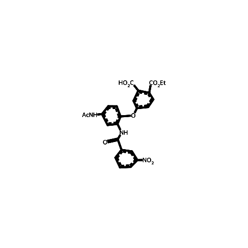 CCOC(=O)c1ccc(Oc2ccc(NC(C)=O)cc2NC(=O)c2cccc([N+](=O)[O-])c2)cc1C(=O)O